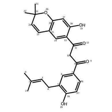 CC(C)=CCc1cc(C(=O)CC(=O)c2cc3c(cc2O)OC(C)(C)C=C3)ccc1O